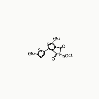 CCCCCCCCN1C(=O)c2c(-c3ccc(C(C)(C)C)s3)sc(C(C)(C)C)c2C1=O